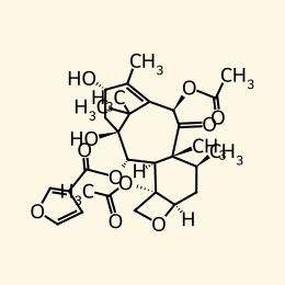 CC(=O)O[C@H]1C(=O)[C@@]2(C)[C@H]([C@H](OC(=O)c3ccoc3)[C@]3(O)C[C@H](O)C(C)=C1C3(C)C)[C@]1(OC(C)=O)CO[C@@H]1C[C@@H]2C